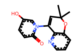 CC1(C)C=C(n2cc(O)ccc2=O)c2ncccc2O1